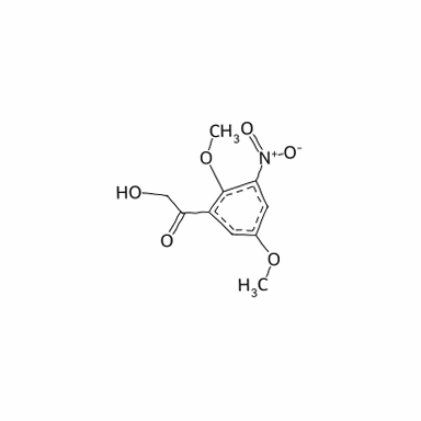 COc1cc(C(=O)CO)c(OC)c([N+](=O)[O-])c1